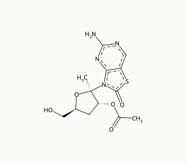 CC(=O)O[C@@H]1C[C@@H](CO)O[C@@]1(C)n1c(=O)sc2cnc(N)nc21